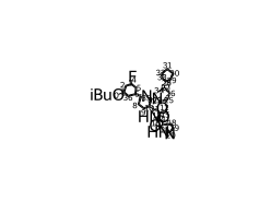 CC(C)COc1cc(F)cc(-c2ccc(C(=O)NS(=O)(=O)c3ccn[nH]3)c(N3CCC[C@@H](c4ccccc4)C3)n2)c1